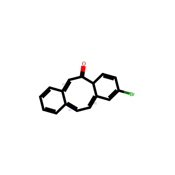 O=C1/C=c2/cccc/c2=C/C=C2/C=C(Br)C=CC12